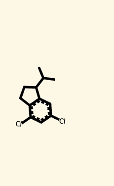 CC(C)C1CCc2c(Cl)cc(Cl)cc21